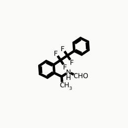 CC(NC=O)c1ccccc1C(F)(F)C(F)(F)c1ccccc1